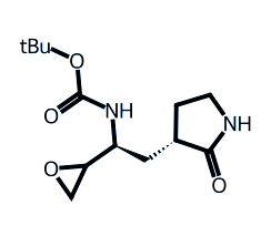 CC(C)(C)OC(=O)N[C@@H](C[C@@H]1CCNC1=O)C1CO1